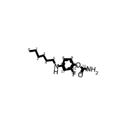 CCCCCCNc1ccc(OC(N)=O)c(F)c1